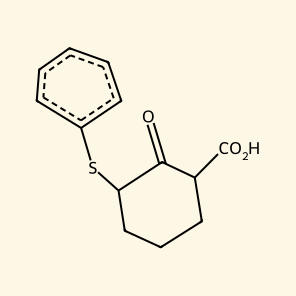 O=C(O)C1CCCC(Sc2ccccc2)C1=O